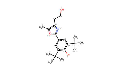 Cc1oc(-c2cc(C(C)(C)C)c(O)c(C(C)(C)C)c2)nc1CCO